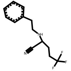 N#CC(CCC(F)(F)F)NCCc1ccccc1